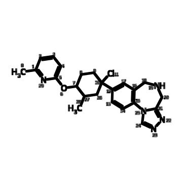 Cc1cccc(OC2CCC(Cl)(c3ccc4c(c3)CNCc3nncn3-4)CC2C)n1